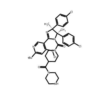 CCOc1cc(C(C)(C)C)ncc1C1=N[C@@](C)(c2ccc(Cl)cc2)[C@@](C)(c2ccc(Cl)cc2)N1C(=O)N1CCC(C(=O)N2CCNCC2)CC1